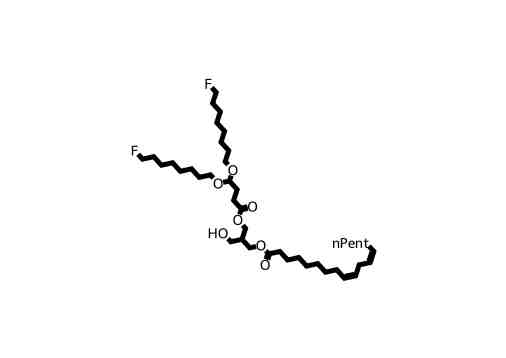 CCCCC/C=C\C/C=C\CCCCCCCC(=O)OCC(CO)COC(=O)CCC(OCCCCCCCCF)OCCCCCCCCF